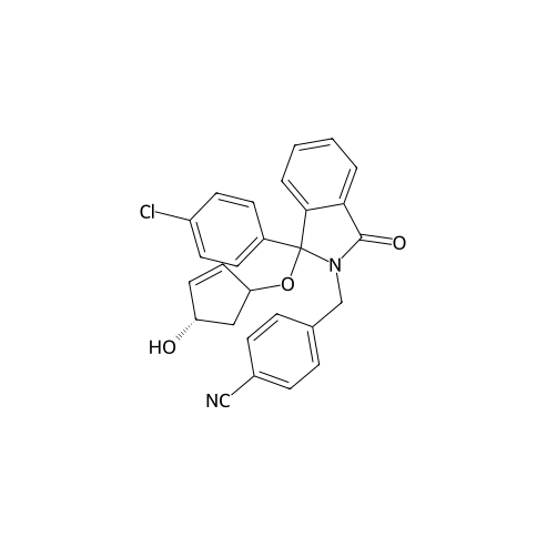 N#Cc1ccc(CN2C(=O)c3ccccc3C2(OC2C=C[C@@H](O)C2)c2ccc(Cl)cc2)cc1